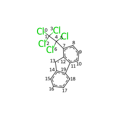 ClC(Cl)(Cl)C(Cl)(Cl)c1cccc2c1[CH]c1ccccc1-2